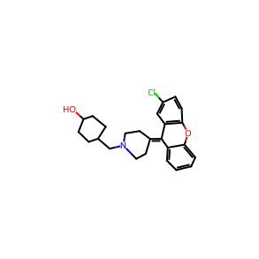 OC1CCC(CN2CCC(=C3c4ccccc4Oc4ccc(Cl)cc43)CC2)CC1